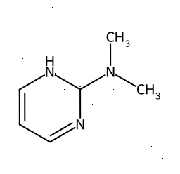 CN(C)[C]1N=CC=CN1